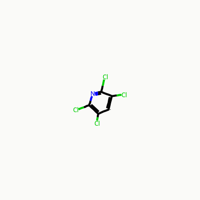 Clc1[c]c(Cl)c(Cl)nc1Cl